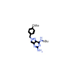 CCCCNc1nc(N)nc2cn(Cc3ccc(OC)cc3)nc12